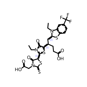 CCN1/C(=C/C(CCC(=O)O)=c2/s/c(=C3\SC(=S)N(CC(=O)O)C3=O)n(CC)c2=O)Sc2ccc(C(F)(F)F)cc21